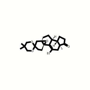 CCC1=C2[C@@H](CC[C@@]34CC5(CC[C@@]23O4)OCC(C)(C)CO5)[C@@H]2CCC(=O)[C@@]2(C)C1